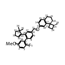 COc1ccc(F)c(-c2ccc(COc3ccc4c(c3)[C@@]3(CCC4)CC[C@@H]3C)cc2C2=CCCC2(C)C)c1